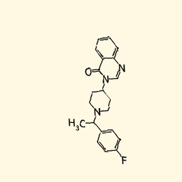 CC(c1ccc(F)cc1)N1CCC(n2cnc3ccccc3c2=O)CC1